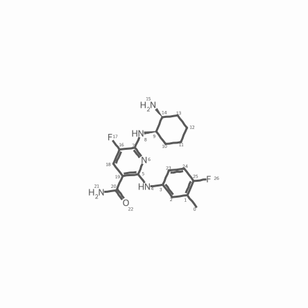 Cc1cc(Nc2nc(N[C@@H]3CCCC[C@@H]3N)c(F)cc2C(N)=O)ccc1F